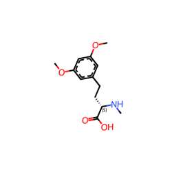 CN[C@@H](CCc1cc(OC)cc(OC)c1)C(=O)O